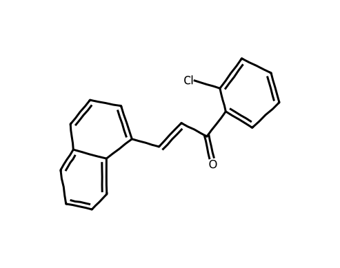 O=C(/C=C/c1cccc2ccccc12)c1ccccc1Cl